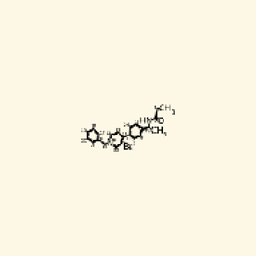 CCC(=O)N[C@@H](C)c1ccc(-c2cc[n+](Cc3ccccc3)cc2)cc1.[Br-]